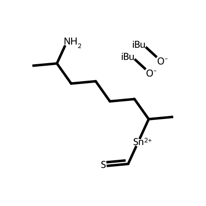 CC(N)CCCC[CH](C)[Sn+2][CH]=S.CCC(C)[O-].CCC(C)[O-]